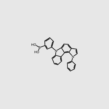 OB(O)c1cccc(-n2c3ccccc3c3c4c(ccc32)ccn4-c2ccccc2)c1